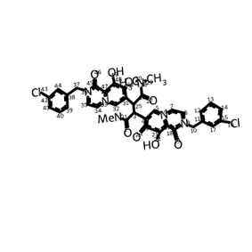 CNC(=O)C(c1cn2ccn(Cc3cccc(Cl)c3)c(=O)c2c(O)c1=O)C(C(=O)N(C)C)c1cn2ccn(Cc3cccc(Cl)c3)c(=O)c2c(O)c1=O